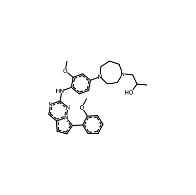 COc1cc(N2CCCN(CC(C)O)CC2)ccc1Nc1ncc2ccc(-c3ccccc3OC)n2n1